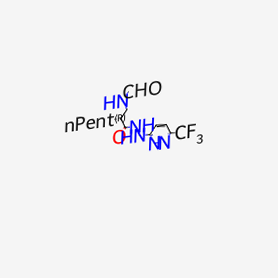 CCCCC[C@H](CNC=O)C(=O)NNc1ccc(C(F)(F)F)nn1